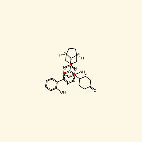 Nc1nnc(-c2ccccc2O)cc1N1C[C@H]2CC[C@@H](C1)N2c1nccc(C2CCC(=O)CC2)n1